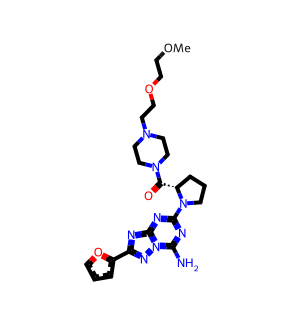 COCCOCCN1CCN(C(=O)[C@@H]2CCCN2c2nc(N)n3nc(-c4ccco4)nc3n2)CC1